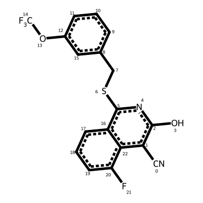 N#Cc1c(O)nc(SCc2cccc(OC(F)(F)F)c2)c2cccc(F)c12